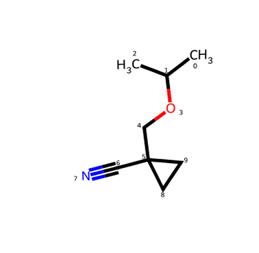 CC(C)OCC1(C#N)CC1